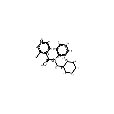 Cc1cnccc1C(=O)N(CC1CCCCC1)c1ccccc1